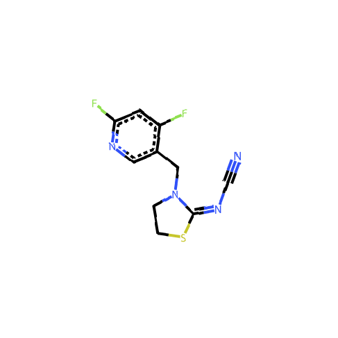 N#C/N=C1/SCCN1Cc1cnc(F)cc1F